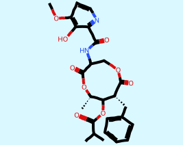 COc1ccnc(C(=O)NC2COC(=O)[C@H](Cc3ccccc3)C(OC(=O)C(C)C)[C@H](C)OC2=O)c1O